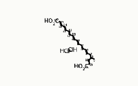 CC(CCCCCCCCCCCCCCCC(=O)O)CCC(=O)O.Cl.Cl